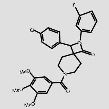 COc1cc(C(=O)N2CCC3(CC2)C(=O)N(c2cccc(F)c2)C3c2ccc(Cl)cc2)cc(OC)c1OC